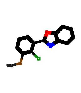 CC(C)(C)Sc1cccc(-c2nc3ccccc3o2)c1Cl